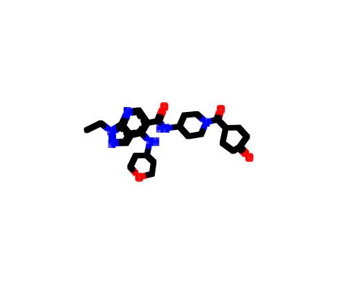 CCn1ncc2c(NC3CCOCC3)c(C(=O)NC3CCN(C(=O)C4CCC(=O)CC4)CC3)cnc21